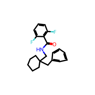 O=C(NCC1(Cc2ccccc2)CCCCC1)c1c(F)cccc1F